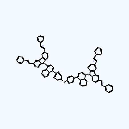 C(=C\c1ccc2c(c1)c1cc(/C=C/c3ccccc3)ccc1n2-c1ccc(-c2ccc(Oc3ccc(-c4ccc(-n5c6ccc(/C=C/c7ccccc7)cc6c6cc(/C=C/c7ccccc7)ccc65)c5ccccc45)cc3)cc2)c2ccccc12)/c1ccccc1